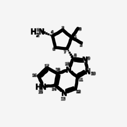 CC1(C)C[C@@H](N)C[C@H]1c1nnc2cnc3[nH]ccc3n12